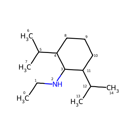 CCNC1C(C(C)C)CCCC1C(C)C